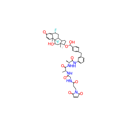 CC(NC(=O)CNC(=O)CCN1C(=O)C=CC1=O)C(=O)N[C@@H](C)C(=O)Nc1cccc(Cc2ccc([C@H](O)O[C@]3(C)CCC4C5C[C@H](F)C6=CC(=O)C=CC6(C)[C@@]5(F)C(O)CC43C)cc2)c1